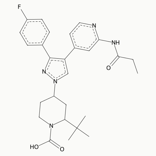 CCC(=O)Nc1cc(-c2cn(C3CCN(C(=O)O)C(C(C)(C)C)C3)nc2-c2ccc(F)cc2)ccn1